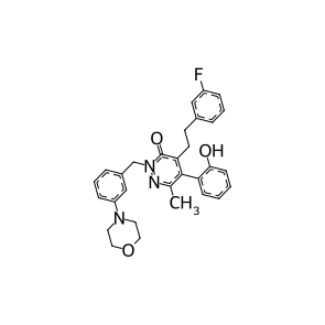 Cc1nn(Cc2cccc(N3CCOCC3)c2)c(=O)c(CCc2cccc(F)c2)c1-c1ccccc1O